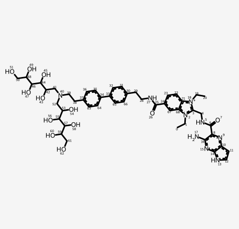 CCn1c(CNC(=O)c2nc3cc[nH]c3nc2N)[n+](CC)c2ccc(C(=O)NCCc3ccc(-c4ccc(CCN(CC(O)C(O)C(O)C(O)CO)CC(O)C(O)C(O)C(O)CO)cc4)cc3)cc21